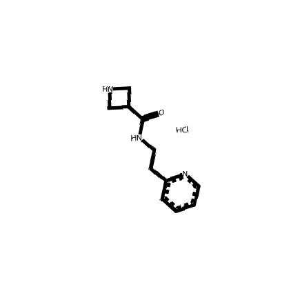 Cl.O=C(NCCc1ccccn1)C1CNC1